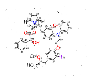 CCOC(Cc1ccc(OCCN2c3ccccc3Oc3ccccc32)c(I)c1)C(=O)O.CN1[C@@H]2CC[C@H]1C[C@@H](OC(=O)C(O)c1ccccc1)C2